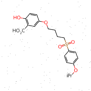 CC(C)Oc1ccc(S(=O)(=O)CCCCOc2ccc(O)c(C(=O)O)c2)cc1